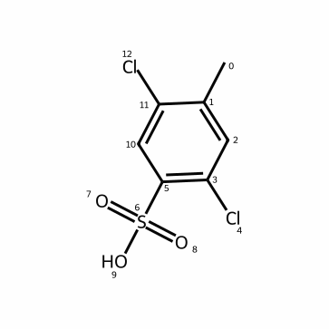 Cc1cc(Cl)c(S(=O)(=O)O)cc1Cl